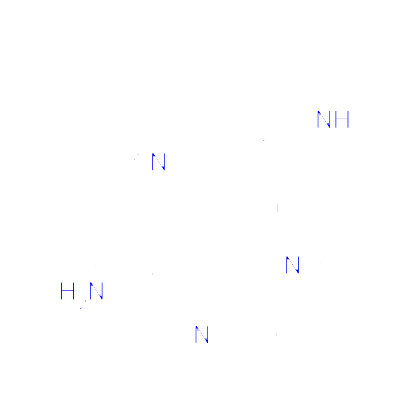 CNC1C=Nc2c(N)ncnc21